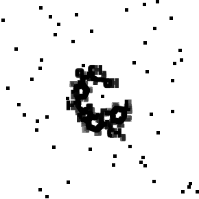 CN(CCO)C(=O)c1ccc(Nc2nc3ccc(N(C)c4ccc(F)cc4F)nc3s2)nc1